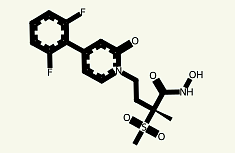 C[C@@](CCn1ccc(-c2c(F)cccc2F)cc1=O)(C(=O)NO)S(C)(=O)=O